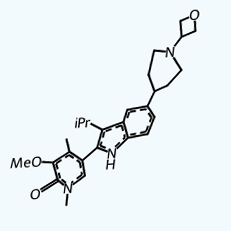 COc1c(C)c(-c2[nH]c3ccc(C4CCN(C5COC5)CC4)cc3c2C(C)C)cn(C)c1=O